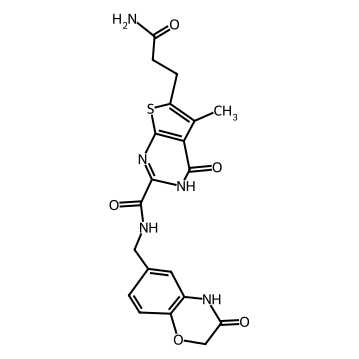 Cc1c(CCC(N)=O)sc2nc(C(=O)NCc3ccc4c(c3)NC(=O)CO4)[nH]c(=O)c12